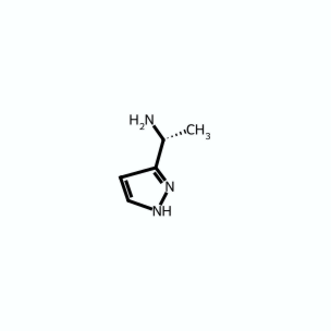 C[C@@H](N)c1cc[nH]n1